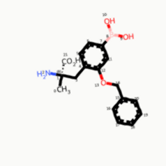 C[C@@](N)(Cc1ccc(B(O)O)cc1OCc1ccccc1)C(=O)O